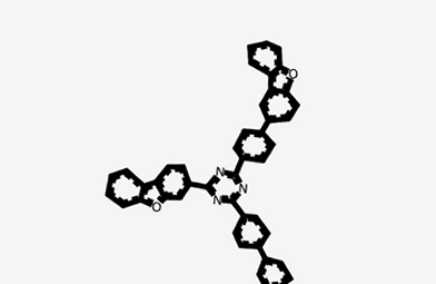 c1ccc(-c2ccc(-c3nc(-c4ccc(-c5ccc6oc7ccccc7c6c5)cc4)nc(-c4ccc5c(c4)oc4ccccc45)n3)cc2)cc1